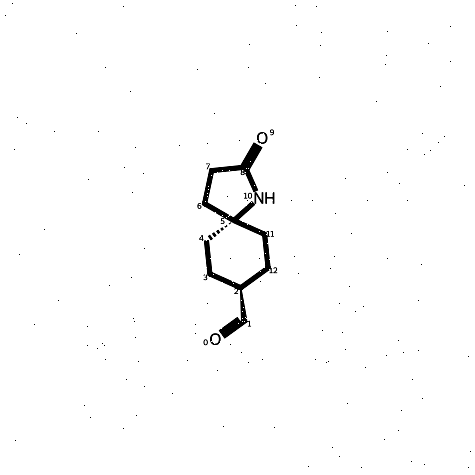 O=C[C@H]1CC[C@@]2(CCC(=O)N2)CC1